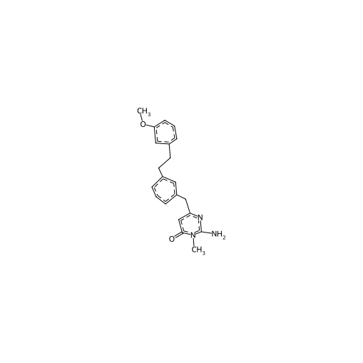 COc1cccc(CCc2cccc(Cc3cc(=O)n(C)c(N)n3)c2)c1